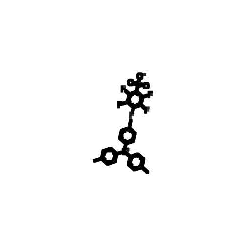 Cc1ccc([S+](c2ccc(C)cc2)c2ccc(C)cc2)cc1.O=S(=O)([O-])c1c(F)c(F)c(F)c(F)c1F